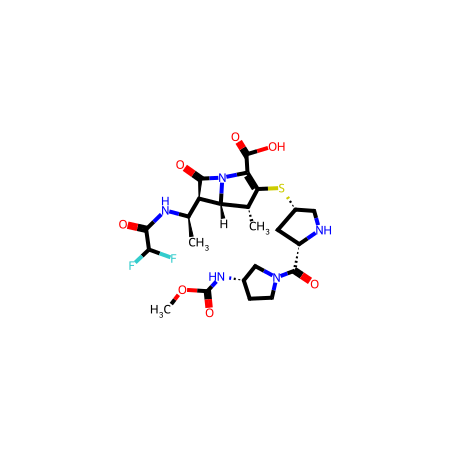 COC(=O)N[C@H]1CCN(C(=O)[C@@H]2C[C@H](SC3=C(C(=O)O)N4C(=O)[C@H]([C@@H](C)NC(=O)C(F)F)[C@H]4[C@H]3C)CN2)C1